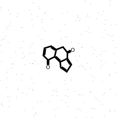 O=C1C=CC=C2CC(=O)C3=CC=CC3=C12